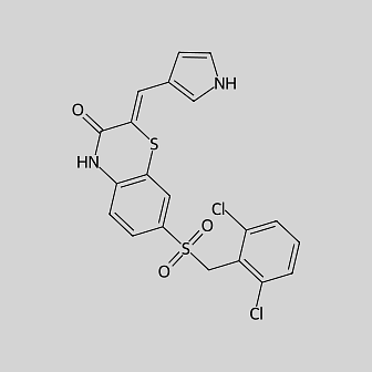 O=C1Nc2ccc(S(=O)(=O)Cc3c(Cl)cccc3Cl)cc2SC1=Cc1cc[nH]c1